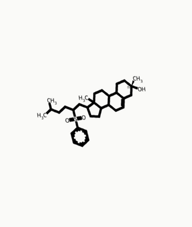 CC(C)CCC(CC1CCC2C3CC=C4C[C@@](C)(O)CCC4C3CCC12C)S(=O)(=O)c1ccccc1